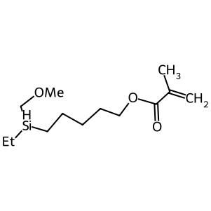 C=C(C)C(=O)OCCCCC[SiH](CC)COC